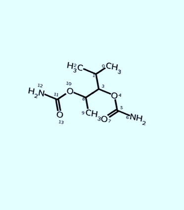 CC(C)C(OC(N)=O)C(C)OC(N)=O